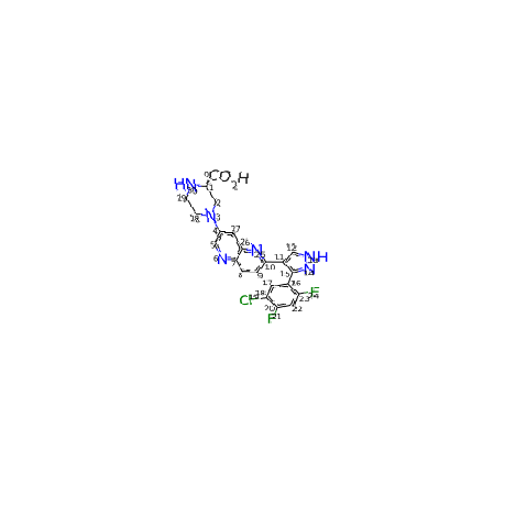 O=C(O)[C@H]1CN(c2cnc3ccc(-c4c[nH]nc4-c4cc(Cl)c(F)cc4F)nc3c2)CCN1